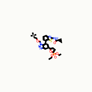 CCOP(=O)(OCC)c1ccc(-c2cc(-c3cccc4nc(NC(=O)C5CC5)sc34)c3c(c2)nnn3COCC[Si](C)(C)C)o1